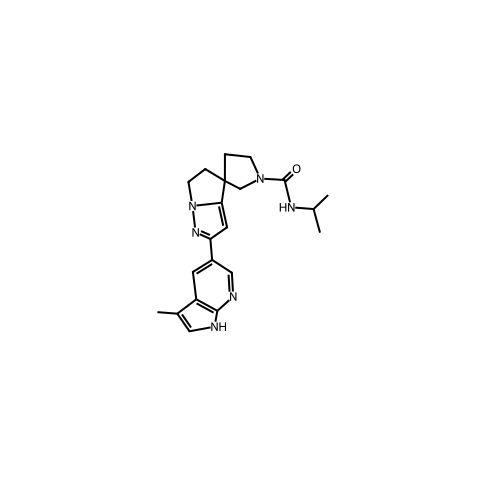 Cc1c[nH]c2ncc(-c3cc4n(n3)CCC43CCN(C(=O)NC(C)C)C3)cc12